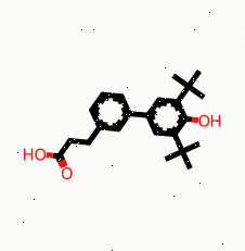 CC(C)(C)c1cc(-c2cccc(CCC(=O)O)c2)cc(C(C)(C)C)c1O